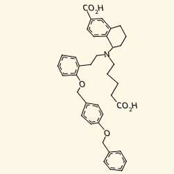 O=C(O)CCCCN(CCc1ccccc1OCc1ccc(OCc2ccccc2)cc1)C1CCCc2cc(C(=O)O)ccc21